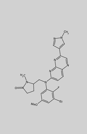 CCc1cc(OC)cc(N(CC2CCC(=O)N2C)c2ccc3ncc(-c4cnn(C)c4)nc3n2)c1F